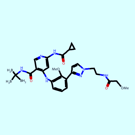 BC(B)(B)NC(=O)c1cnc(NC(=O)C2CC2)cc1Nc1cccc(-c2ccn(CCNC(=O)COC)n2)c1OC